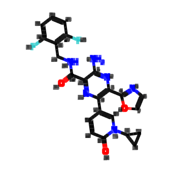 Nc1nc(-c2ncco2)c(-c2ccc(=O)n(C3CC3)c2)nc1C(=O)NCc1c(F)cccc1F